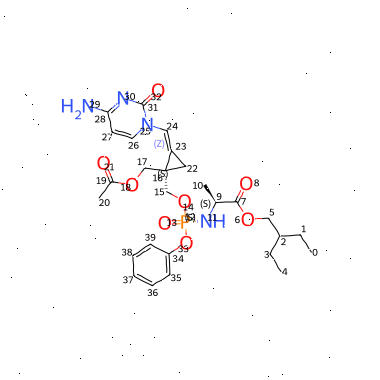 CCC(CC)COC(=O)[C@H](C)N[P@](=O)(OC[C@@]1(COC(C)=O)C/C1=C/n1ccc(N)nc1=O)Oc1ccccc1